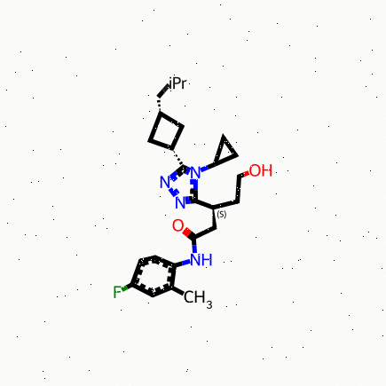 Cc1cc(F)ccc1NC(=O)C[C@H](CCO)c1nnc([C@H]2C[C@@H](CC(C)C)C2)n1C1CC1